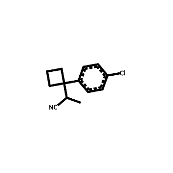 CC(C#N)C1(c2ccc(Cl)cc2)CCC1